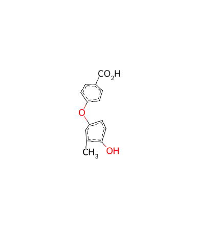 Cc1cc(Oc2ccc(C(=O)O)cc2)ccc1O